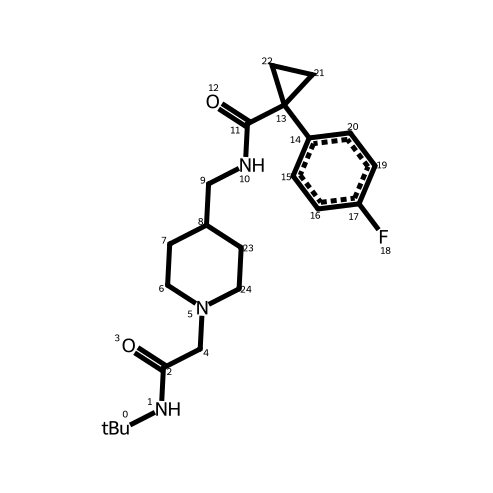 CC(C)(C)NC(=O)CN1CCC(CNC(=O)C2(c3ccc(F)cc3)CC2)CC1